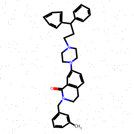 Cc1cccc(CN2CCc3ccc(N4CCN(CCC(c5ccccc5)c5ccccc5)CC4)cc3C2=O)c1